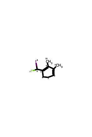 CC1=CCCC(C(F)I)=C1C